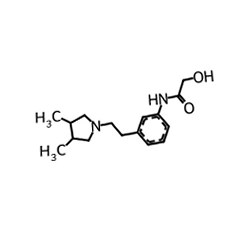 CC1CN(CCc2cccc(NC(=O)CO)c2)CC1C